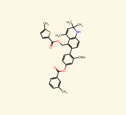 COc1cc(OC(=O)c2cccc(C)c2)ccc1-c1ccc2c(c1COC(=O)c1ccc(C)s1)C(C)=CC(C)(C)N2